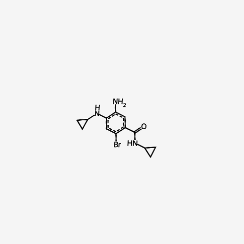 Nc1cc(C(=O)NC2CC2)c(Br)cc1NC1CC1